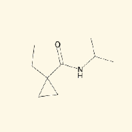 CCC1(C(=O)NC(C)C)CC1